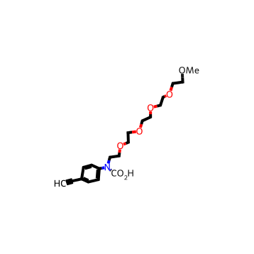 C#Cc1ccc(N(CCOCCOCCOCCOCCOC)C(=O)O)cc1